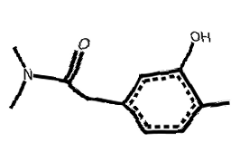 Cc1ccc(CC(=O)N(C)C)cc1O